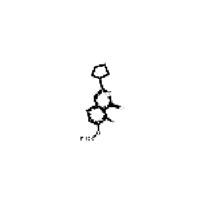 CCCCCCOc1ccc2cc(C3CCCC3)oc(=O)c2c1F